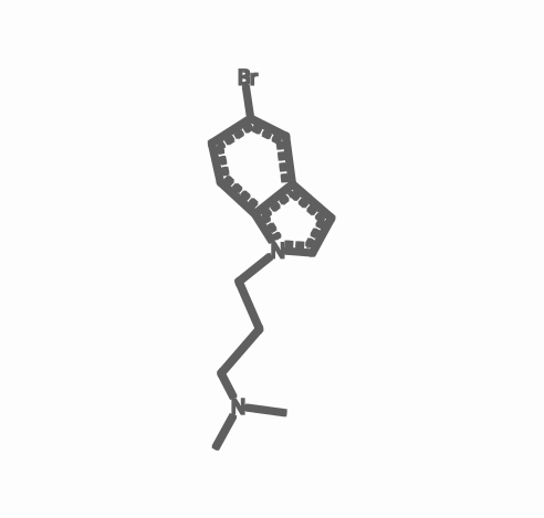 CN(C)CCCn1ccc2cc(Br)ccc21